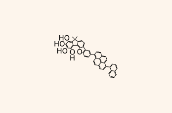 CC1(C)c2ccc3c(oc4ccc(-c5ccc6ccc7c(-c8cccc9ccccc89)ccc8ccc5c6c87)cc43)c2-c2c(O)c(O)c(O)c(O)c21